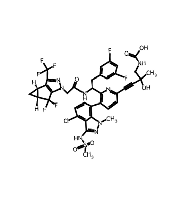 Cn1nc(NS(C)(=O)=O)c2c(Cl)ccc(-c3ccc(C#CC(C)(O)CNC(=O)O)nc3[C@H](Cc3cc(F)cc(F)c3)NC(=O)Cn3nc(C(F)(F)F)c4c3C(F)(F)[C@@H]3C[C@H]43)c21